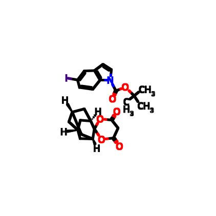 CC(C)(C)OC(=O)n1ccc2cc(I)ccc21.O=C1CC(=O)OC2(O1)[C@H]1C[C@H]3C[C@H](C1)C[C@H]2C3